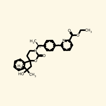 CCOC(=O)c1cccc(-c2ccc([C@H](C)N3CCC(CC(C)(C)O)(c4ccccc4)OC3=O)cc2)n1